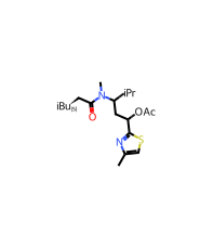 CC[C@H](C)CC(=O)N(C)C(CC(OC(C)=O)c1nc(C)cs1)C(C)C